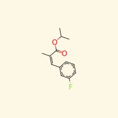 CC(=Cc1cccc(F)c1)C(=O)OC(C)C